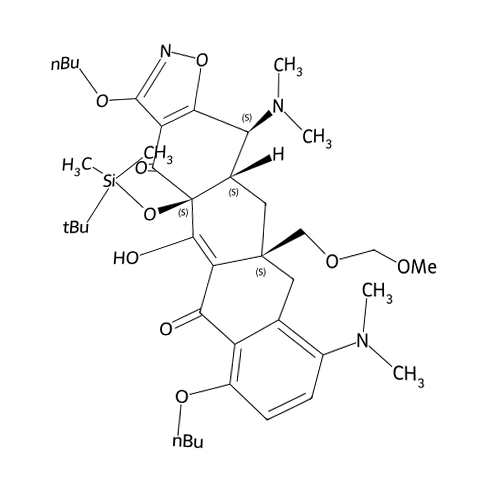 CCCCOc1ccc(N(C)C)c2c1C(=O)C1=C(O)[C@]3(O[Si](C)(C)C(C)(C)C)C(=O)c4c(OCCCC)noc4[C@@H](N(C)C)[C@@H]3C[C@]1(COCOC)C2